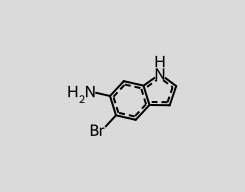 Nc1cc2[nH]ccc2cc1Br